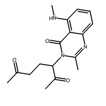 CNc1cccc2nc(C)n(C(CCC(C)=O)C(C)=O)c(=O)c12